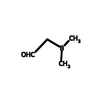 CB(C)CC=O